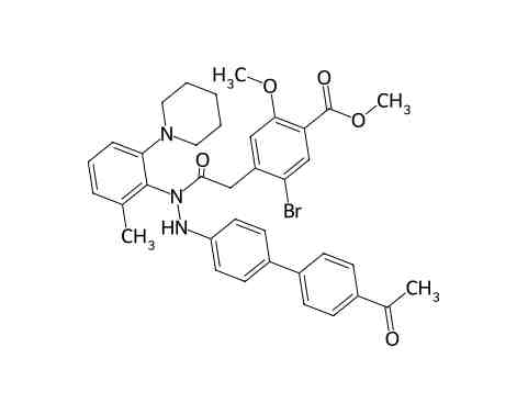 COC(=O)c1cc(Br)c(CC(=O)N(Nc2ccc(-c3ccc(C(C)=O)cc3)cc2)c2c(C)cccc2N2CCCCC2)cc1OC